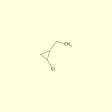 CCC1CC1Cl